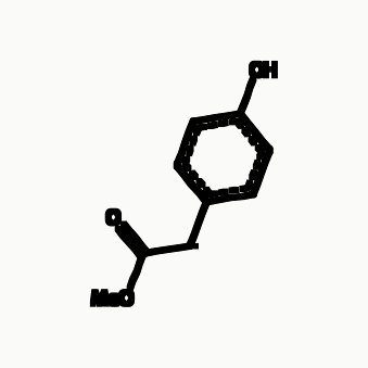 COC(=O)[CH]c1ccc(O)cc1